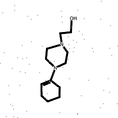 OCCN1CCN(C2=CCCCC2)CC1